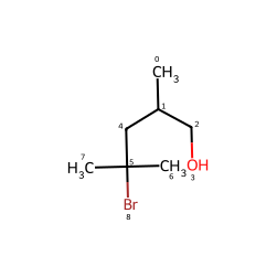 CC(CO)CC(C)(C)Br